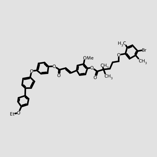 CCOc1ccc(-c2ccc(Oc3ccc(OC(=O)C=Cc4ccc(OC(=O)C(C)(C)CCCOc5cc(C)c(Br)cc5C)c(OC)c4)cc3)cc2)cc1